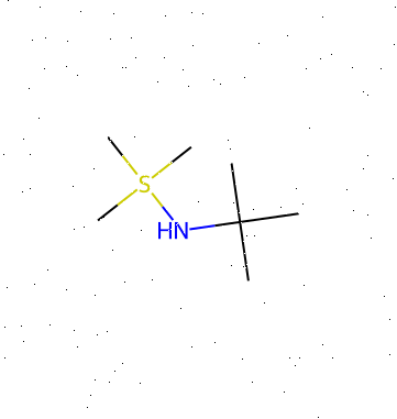 CC(C)(C)NS(C)(C)C